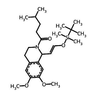 COc1cc2c(cc1OC)C(C=CO[Si](C)(C)C(C)(C)C)N(C(=O)CCC(C)C)CC2